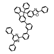 c1ccc(-c2cc(-c3ccccc3)nc(-c3cccc(-c4cccc(-c5ccc6c(c5)C(c5ccccc5)(c5ccc7oc(-c8ccccc8)nc7c5)c5ccccc5-6)c4)c3)n2)cc1